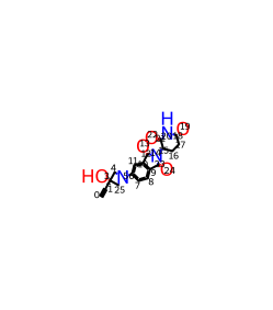 C#CC1(O)CN(c2ccc3c(c2)C(=O)N(C2CCC(=O)NC2=O)C3=O)C1